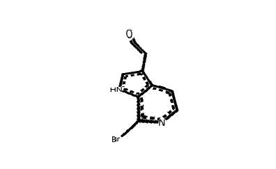 O=Cc1c[nH]c2c(Br)nccc12